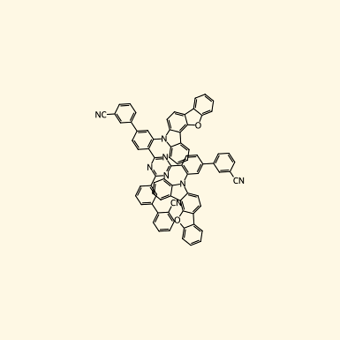 N#Cc1cccc(-c2ccc(-c3nc(-c4cccc(-c5ccccc5C#N)c4)nc(-c4ccc(-c5cccc(C#N)c5)cc4-n4c5ccccc5c5c6oc7ccccc7c6ccc54)n3)c(-n3c4ccccc4c4c5oc6ccccc6c5ccc43)c2)c1